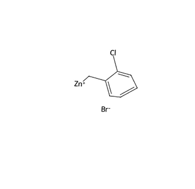 Clc1ccccc1[CH2][Zn+].[Br-]